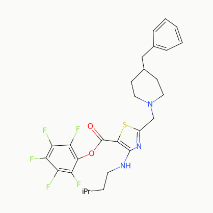 CC(C)CCNc1nc(CN2CCC(Cc3ccccc3)CC2)sc1C(=O)Oc1c(F)c(F)c(F)c(F)c1F